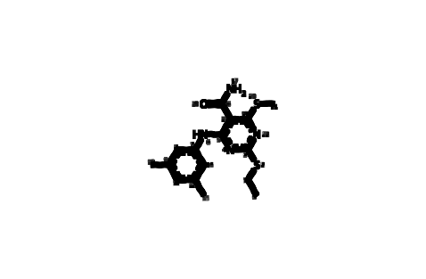 CCSc1nc(Nc2cc(C)cc(C)c2)c(C(N)=O)c(SC)n1